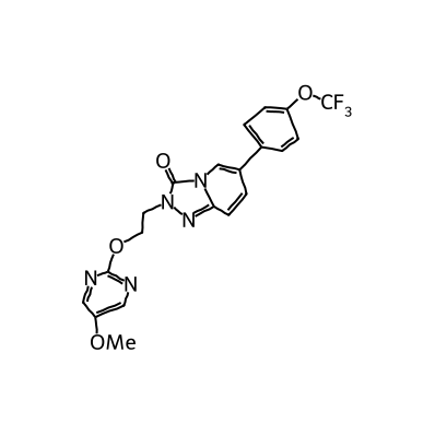 COc1cnc(OCCn2nc3ccc(-c4ccc(OC(F)(F)F)cc4)cn3c2=O)nc1